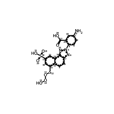 Nc1ccc(-n2nc3ccc4c(SOOO)cc(S(=O)(=O)O)cc4c3n2)c(C(=O)O)c1